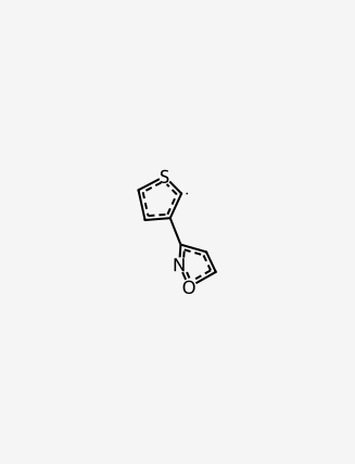 [c]1sccc1-c1ccon1